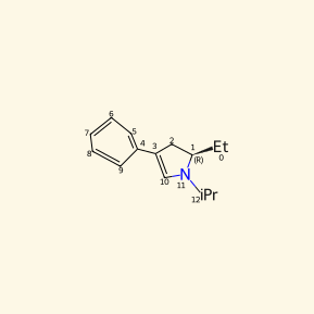 CC[C@@H]1CC(c2ccccc2)=CN1C(C)C